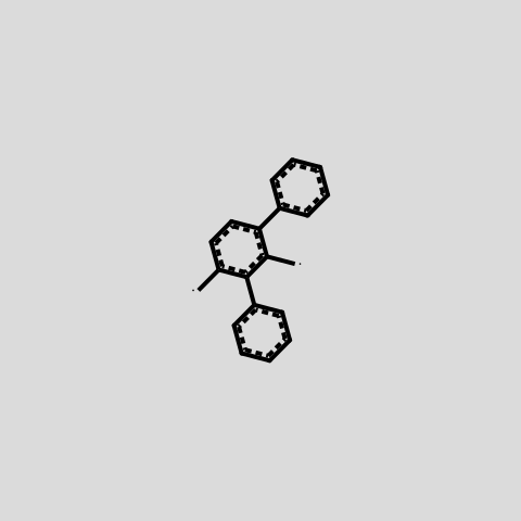 [CH2]c1ccc(-c2ccccc2)c([CH2])c1-c1ccccc1